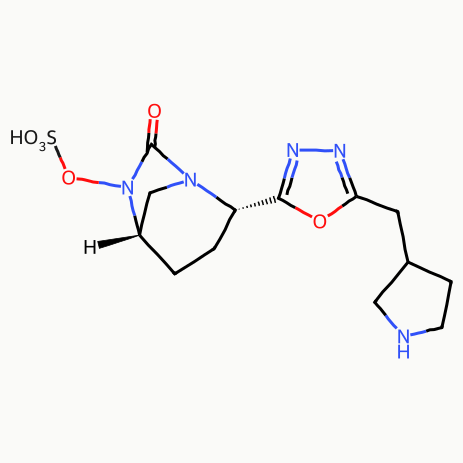 O=C1N2C[C@H](CC[C@H]2c2nnc(CC3CCNC3)o2)N1OS(=O)(=O)O